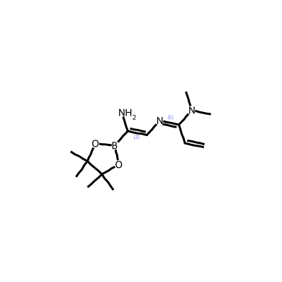 C=C/C(=N\C=C(/N)B1OC(C)(C)C(C)(C)O1)N(C)C